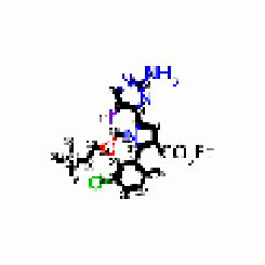 CCOC(=O)c1cc(-c2nc(N)ncc2I)n(COCC[Si](C)(C)C)c1-c1cc(Cl)ccc1C